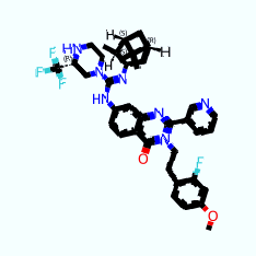 COc1ccc(CCn2c(-c3cccnc3)nc3cc(NC(=NC4C[C@H]5C[C@@H]([C@@H]4C)C5(C)C)N4CCN[C@@H](C(F)(F)F)C4)ccc3c2=O)c(F)c1